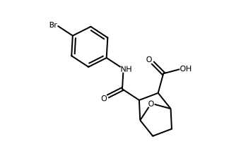 O=C(O)C1C2CCC(O2)C1C(=O)Nc1ccc(Br)cc1